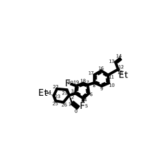 C#C[C@]1(c2c(F)cc(-c3ccc(C(C=C)CC)cc3)cc2F)CC[C@@H](CC)CC1